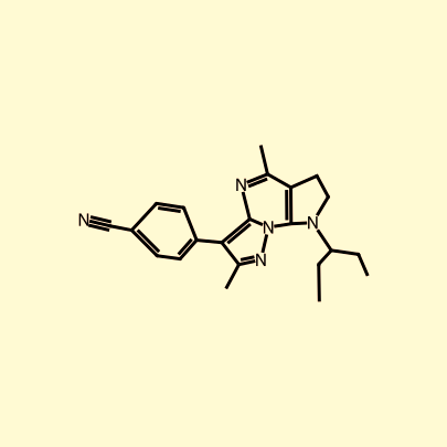 CCC(CC)N1CCc2c(C)nc3c(-c4ccc(C#N)cc4)c(C)nn3c21